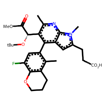 COC(=O)[C@@H](OC(C)(C)C)c1c(C)nc2c(cc(CCC(=O)O)n2C)c1-c1cc(F)c2c(c1C)CCCO2